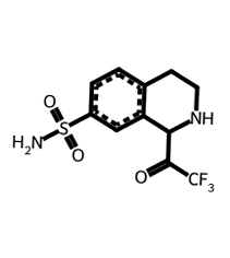 NS(=O)(=O)c1ccc2c(c1)C(C(=O)C(F)(F)F)NCC2